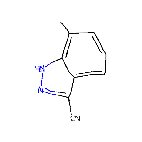 Cc1cccc2c(C#N)n[nH]c12